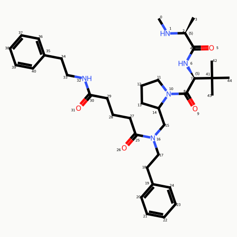 CN[C@@H](C)C(=O)N[C@H](C(=O)N1CCCC1CN(CCc1ccccc1)C(=O)CCCC(=O)NCCc1ccccc1)C(C)(C)C